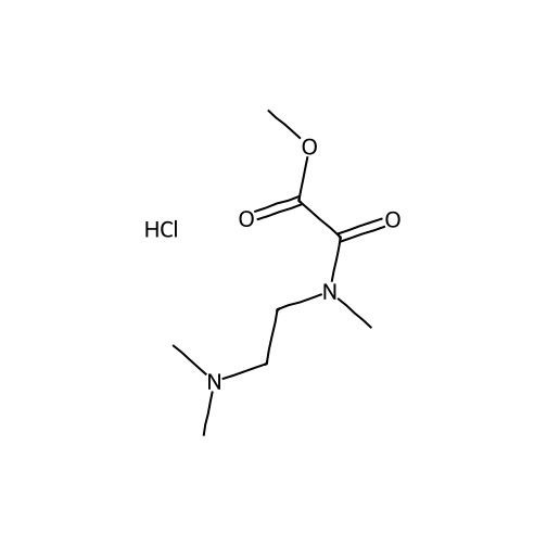 COC(=O)C(=O)N(C)CCN(C)C.Cl